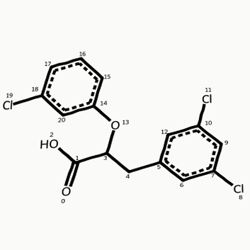 O=C(O)C(Cc1cc(Cl)cc(Cl)c1)Oc1cccc(Cl)c1